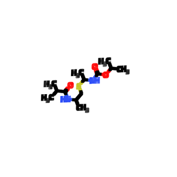 CC(CSC(C)NC(=O)OC(C)C)NC(=O)C(C)C